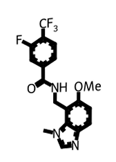 COc1ccc2ncn(C)c2c1CNC(=O)c1ccc(C(F)(F)F)c(F)c1